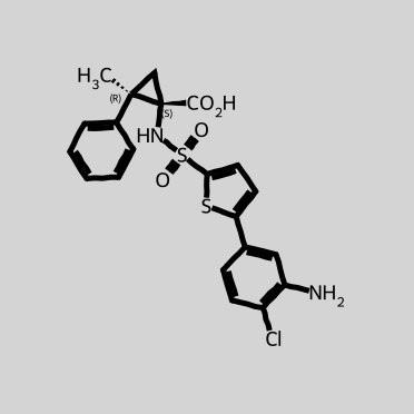 C[C@]1(c2ccccc2)C[C@@]1(NS(=O)(=O)c1ccc(-c2ccc(Cl)c(N)c2)s1)C(=O)O